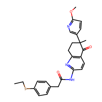 CCSc1ccc(CC(=O)Nc2ccc3c(n2)CCC(C)(c2ccc(OC)nc2)C3=O)cc1